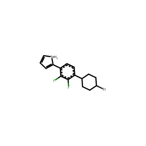 CCC1CCC(c2ccc(C3=CC=C[SeH2]3)c(F)c2F)CC1